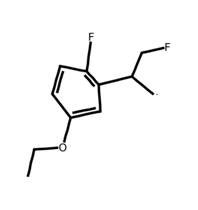 [CH2]C(CF)c1cc(OCC)ccc1F